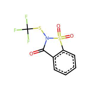 O=C1c2ccccc2S(=O)(=O)N1SC(F)(F)F